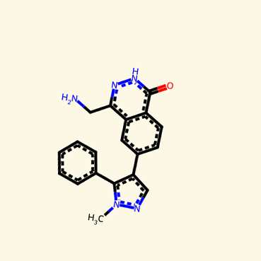 Cn1ncc(-c2ccc3c(=O)[nH]nc(CN)c3c2)c1-c1ccccc1